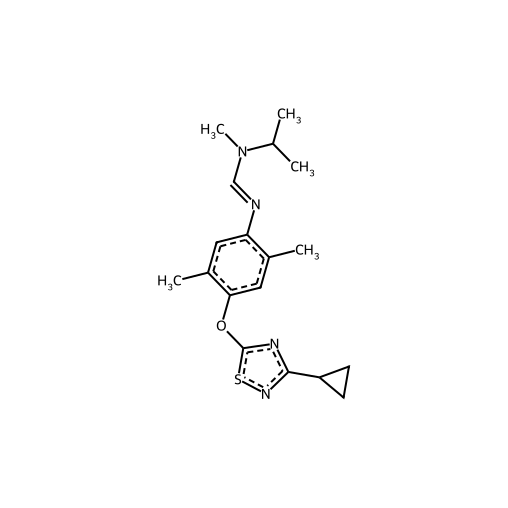 Cc1cc(Oc2nc(C3CC3)ns2)c(C)cc1N=CN(C)C(C)C